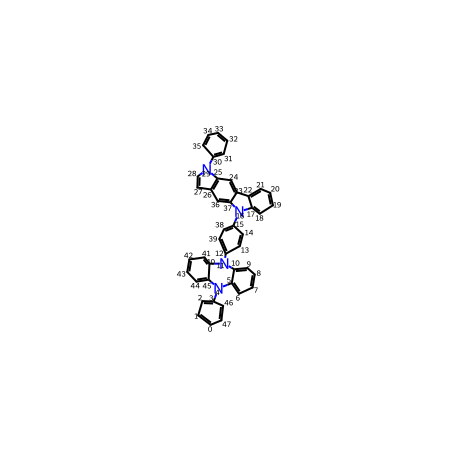 c1ccc(N2c3ccccc3N(c3ccc(-n4c5ccccc5c5cc6c(ccn6-c6ccccc6)cc54)cc3)c3ccccc32)cc1